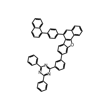 c1ccc(-c2nc(-c3ccccc3)nc(-c3cccc(-c4ccc5c(c4)oc4c6ccccc6cc(-c6ccc(-c7cccc8ccccc78)cc6)c54)c3)n2)cc1